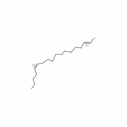 [CH2]/C=C/CCCCCCCCC/C=C\CCCC